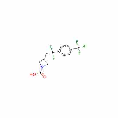 O=C(O)N1CC(CC(F)(F)c2ccc(C(F)(F)F)cc2)C1